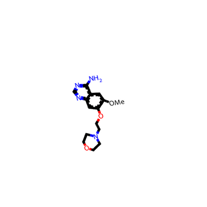 COc1cc2c(N)ncnc2cc1OCCN1CCOCC1